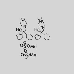 COS(=O)(=O)[O-].COS(=O)(=O)[O-].C[N+]1(C)CCN(CC(O)(c2ccccc2)C2CCCCC2)CC1.C[N+]1(C)CCN(CC(O)(c2ccccc2)C2CCCCC2)CC1